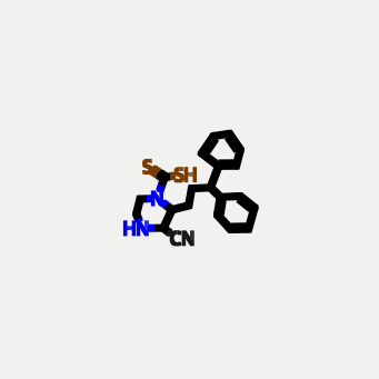 N#CC1NCCN(C(=S)S)C1CCC(c1ccccc1)c1ccccc1